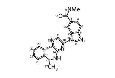 CNC(=O)c1ccc2ncn(-c3cncc(N[C@@H](C)c4ccccc4)n3)c2c1